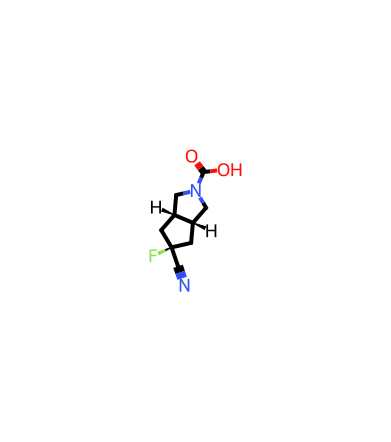 N#C[C@@]1(F)C[C@H]2CN(C(=O)O)C[C@H]2C1